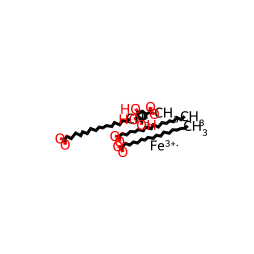 CCCCCCCCCCCCCCCCCC(=O)[O-].CCCCCCCCCCCCCCCCCC(=O)[O-].CCCCCCCCCCCCCCCCCC(=O)[O-].COC(=O)c1cc(O)c(O)c(O)c1.[Fe+3]